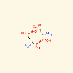 NC(CCC(=O)O)C(=O)O.NC(CCP(=O)(O)O)C(=O)O